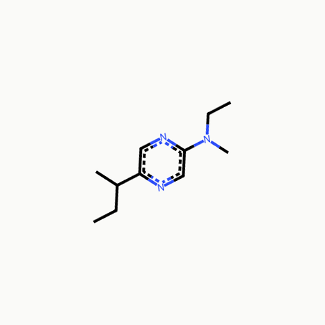 CCC(C)c1cnc(N(C)CC)cn1